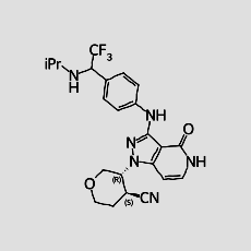 CC(C)NC(c1ccc(Nc2nn([C@H]3COCC[C@@H]3C#N)c3cc[nH]c(=O)c23)cc1)C(F)(F)F